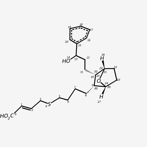 O=C(O)C=CCSCCCC[C@@H]1[C@H](CCC(O)c2ccccc2)[C@@H]2CC[C@H]1O2